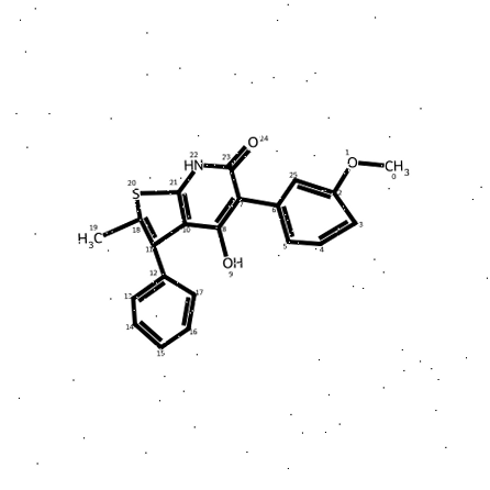 COc1cccc(-c2c(O)c3c(-c4ccccc4)c(C)sc3[nH]c2=O)c1